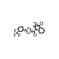 CCn1nc(C(=O)N2CCN(c3cccc(C(F)(F)F)c3)CC2)c2ccccc2c1=O